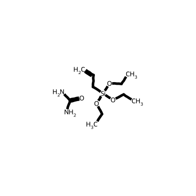 C=CC[Si](OCC)(OCC)OCC.NC(N)=O